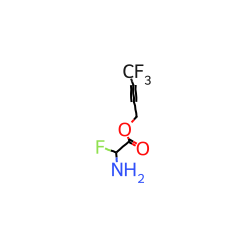 NC(F)C(=O)OCC#CC(F)(F)F